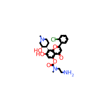 CN1CC[C@H](c2c(O)cc(OC(=O)N(C)CCN)c3c(=O)cc(-c4ccccc4Cl)oc23)[C@H](O)C1